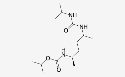 CC(C)NC(=O)NC(C)CC[C@@H](C)NC(=O)OC(C)C